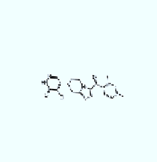 Cc1ccc(C(=O)c2cnc3n2CCN(c2cn[nH]c(=O)c2Cl)C3)c(C)c1